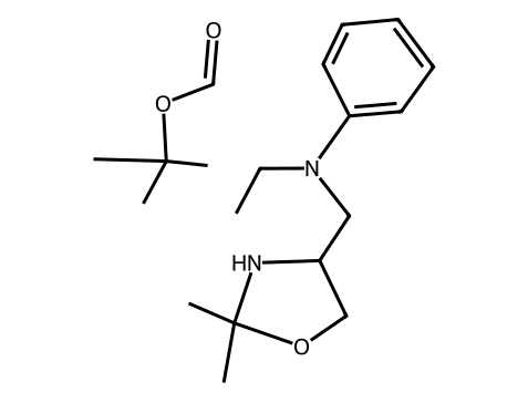 CC(C)(C)OC=O.CCN(CC1COC(C)(C)N1)c1ccccc1